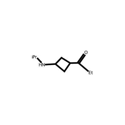 CCC(=O)C1CC(NC(C)C)C1